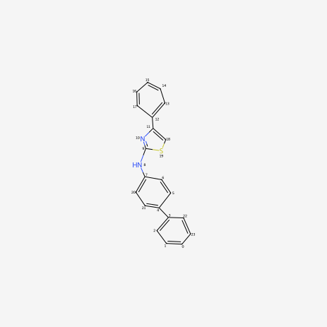 c1ccc(-c2ccc(Nc3nc(-c4ccccc4)cs3)cc2)cc1